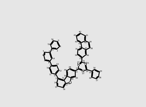 c1ccc(-c2cccc(-c3ccc(-c4cccc5oc6cc(-c7nc(-c8ccccc8)nc(-c8ccc9c(ccc%10ccccc%109)c8)n7)ccc6c45)cc3)c2)cc1